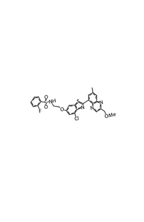 COCc1cnc2c(-c3nc4c(Cl)cc(OCCNS(=O)(=O)c5ccccc5F)cc4s3)cc(C)cc2n1